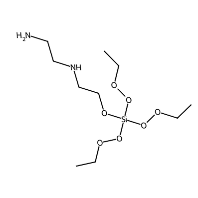 CCOO[Si](OCCNCCN)(OOCC)OOCC